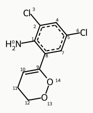 Nc1c(Cl)cc(Cl)cc1C1=CCCOO1